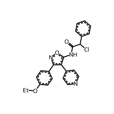 CCOc1ccc(-c2noc(NC(=O)C(Cl)c3ccccc3)c2-c2ccncc2)cc1